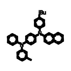 CCC(C)c1ccc(N(c2ccc(N(c3ccccc3)c3cccc(C)c3)cc2)c2ccc3ccccc3c2)cc1